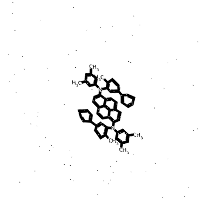 Cc1cc(C)cc(N(c2cc(-c3ccccc3)ccc2C)c2ccc3ccc4c(N(c5cc(C)cc(C)c5)c5cc(-c6ccccc6)ccc5C)ccc5ccc2c3c54)c1